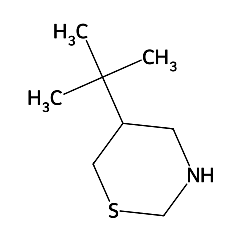 CC(C)(C)C1CNCSC1